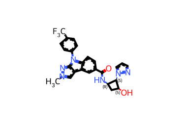 Cn1cc2c3cc(C(=O)N[C@@H]4C[C@H](O)[C@H]4n4cccn4)ccc3n(-c3ccc(C(F)(F)F)cc3)c2n1